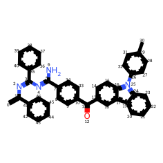 C=C(/N=C(\N=C(/N)c1ccc(C(=O)c2ccc3c(c2)c2ccccc2n3-c2ccc(C)cc2)cc1)c1ccccc1)c1ccccc1